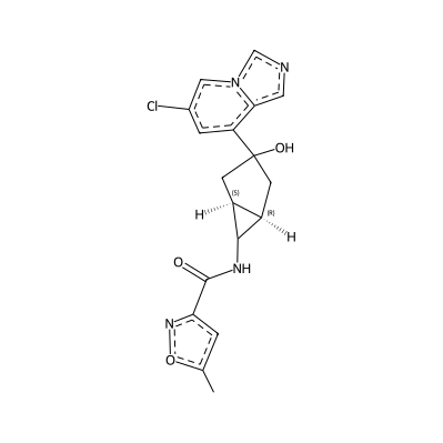 Cc1cc(C(=O)NC2[C@H]3CC(O)(c4cc(Cl)cn5cncc45)C[C@@H]23)no1